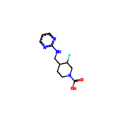 O=C(O)N1CCC(CNc2ncccn2)C(F)C1